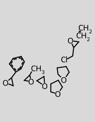 C1CCOC1.C1CCOC1.C1CO1.C=C.CC1CO1.ClCC1CO1.c1ccc(C2CO2)cc1